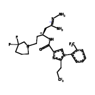 N/N=C(\N)C[C@H](CCN1CCCC(F)(F)C1)NC(=O)c1cn(-c2ccccc2C(F)(F)F)c(CCC(F)(F)F)n1